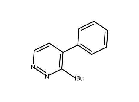 CCC(C)c1nnccc1-c1ccccc1